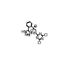 O=S(=O)(CNc1nc(Cl)nc(Cl)n1)c1ccccc1-c1nnn[nH]1